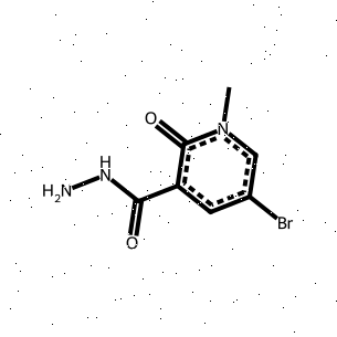 Cn1cc(Br)cc(C(=O)NN)c1=O